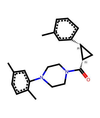 Cc1cccc([C@@H]2C[C@@H]2C(=O)N2CCN(c3cc(C)ccc3C)CC2)c1